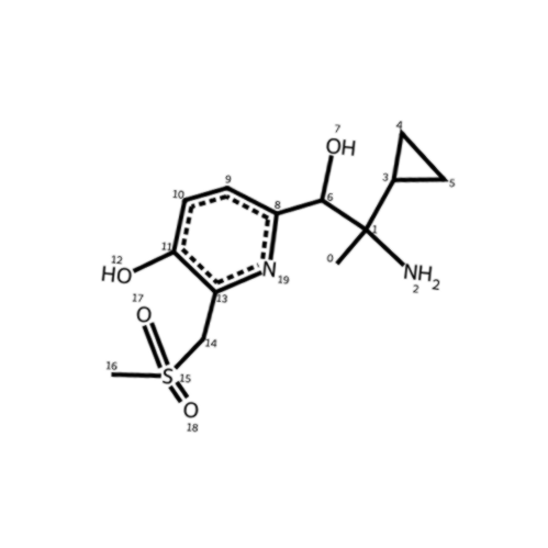 CC(N)(C1CC1)C(O)c1ccc(O)c(CS(C)(=O)=O)n1